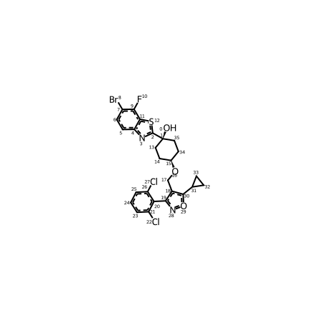 O[C@]1(c2nc3ccc(Br)c(F)c3s2)CC[C@H](OCc2c(-c3c(Cl)cccc3Cl)noc2C2CC2)CC1